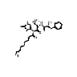 CCCCCCCCC(=O)N(C(=O)[C@@H](NC(=O)[C@@H](N)Cc1ccccc1)C(C)C)c1n[nH]c(=S)s1